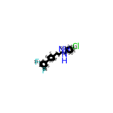 N=C(/C=C/c1ccc(-c2cc(F)cc(F)c2)cc1)Nc1ccc(Cl)cc1